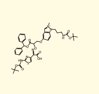 C[n+]1cc2cc(OCC(O/N=C(\C(=O)O)c3csc(NC(=O)OC(C)(C)C)n3)C(=O)OC(c3ccccc3)c3ccccc3)ccc2n1CCCNC(=O)OC(C)(C)C